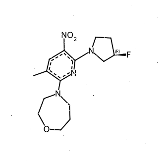 Cc1cc([N+](=O)[O-])c(N2CC[C@@H](F)C2)nc1N1CCCOCC1